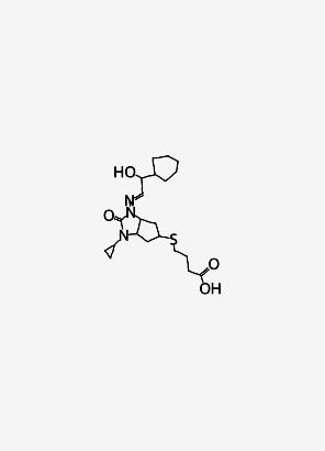 O=C(O)CCCSC1CC2C(C1)N(C1CC1)C(=O)N2N=CC(O)C1CCCCC1